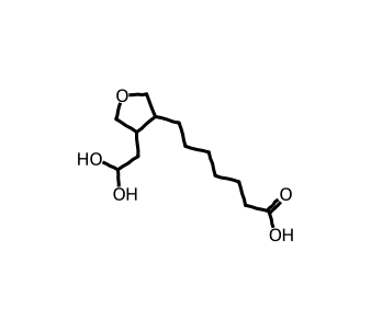 O=C(O)CCCCCCC1COCC1CC(O)O